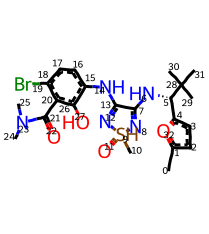 Cc1ccc([C@H](NC2=N[SH](C)(=O)N=C2Nc2ccc(Br)c(C(=O)N(C)C)c2O)C(C)(C)C)o1